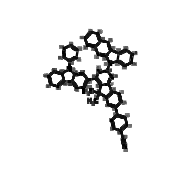 CC1(C)c2cc(-c3ccc(C#N)cc3)ccc2-c2nc(-n3c4ccccc4c4cc5ccccc5cc43)nc(-c3ccc4c5ccccc5n(-c5ccccc5)c4c3)c21